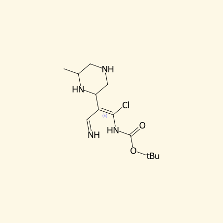 CC1CNCC(/C(C=N)=C(\Cl)NC(=O)OC(C)(C)C)N1